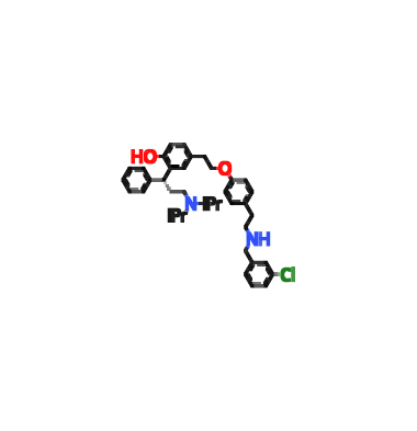 CC(C)N(CC[C@H](c1ccccc1)c1cc(CCOc2ccc(CCNCc3cccc(Cl)c3)cc2)ccc1O)C(C)C